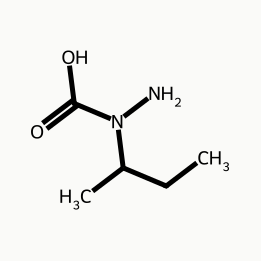 CCC(C)N(N)C(=O)O